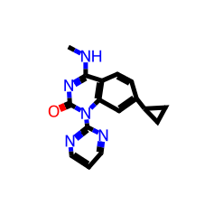 CNc1nc(=O)n(-c2ncccn2)c2cc(C3CC3)ccc12